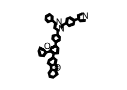 c1ccc(-c2cc(-c3ccc(-c4ccc(-c5ccc6c(c5)oc5ccccc56)c5c4oc4ccccc45)cc3)nc(-c3ccc(-c4ccncc4)cc3)n2)cc1